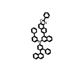 C1=CCC(c2cccc(N(c3ccc(-c4cccc5ccccc45)c(-c4ccccc4)c3)C3C=c4ccccc4=C(c4ccc5c(ccc6oc(-c7ccccc7)nc65)c4)C3)c2)C=C1